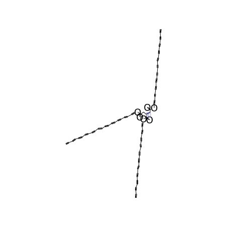 C#CC#CC#CC#CC#CC#CC#CC#CC#CC#CC#COC(=O)/C=C(\CC(=O)OC#CC#CC#CC#CC#CC#CC#CC#CC#CC#CC#C)C(=O)OC#CC#CC#CC#CC#CC#CC#CC#CC#CC#CC#C